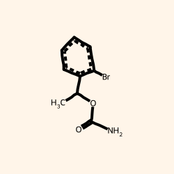 CC(OC(N)=O)c1ccccc1Br